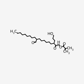 C=C(C)C(=O)ONC(=O)C(CCCO)CCCCCCC(C=O)CCCCCCCCC